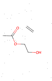 C=C.CC(=O)OCCO